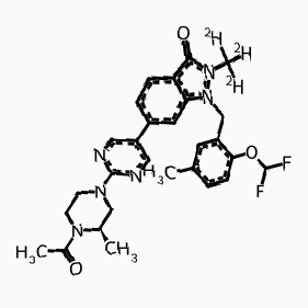 [2H]C([2H])([2H])n1c(=O)c2ccc(-c3cnc(N4CCN(C(C)=O)[C@H](C)C4)nc3)cc2n1Cc1cc(C)ccc1OC(F)F